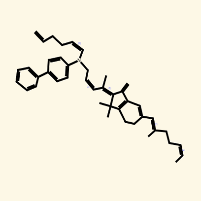 C=CCC/C=C\N(C/C=C\C(C)=C1\C(=C)C2=C(CCC(/C=C(\C)CC/C=C\C)=C2)C1(C)C)c1ccc(-c2ccccc2)cc1